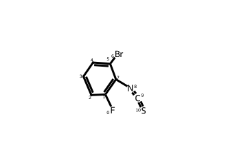 Fc1cccc(Br)c1N=C=S